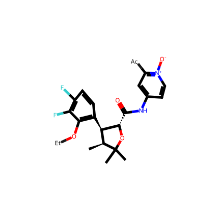 CCOc1c([C@H]2[C@H](C(=O)Nc3cc[n+]([O-])c(C(C)=O)c3)OC(C)(C)[C@H]2C)ccc(F)c1F